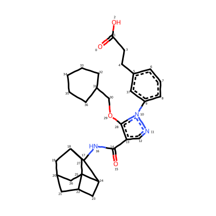 O=C(O)CCc1cccc(-n2ncc(C(=O)NC3C4CC5CC6CC3C6(C5)C4)c2OCC2CCCCC2)c1